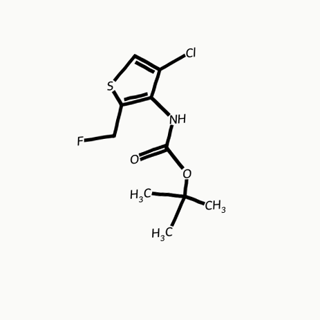 CC(C)(C)OC(=O)Nc1c(Cl)csc1CF